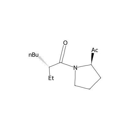 CCCC[C@@H](CC)C(=O)N1CCC[C@@H]1C(C)=O